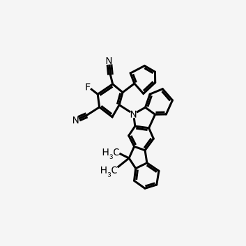 CC1(C)c2ccccc2-c2cc3c4ccccc4n(-c4cc(C#N)c(F)c(C#N)c4-c4ccccc4)c3cc21